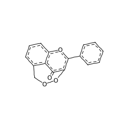 O=c1c2c(-c3ccccc3)oc3cccc(c13)COO2